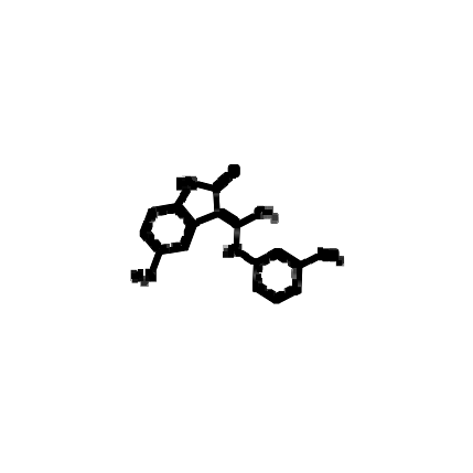 CC(Nc1cccc([N+](=O)[O-])c1)=C1C(=O)Nc2ccc(N)cc21